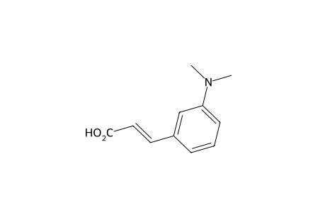 CN(C)c1cccc(C=CC(=O)O)c1